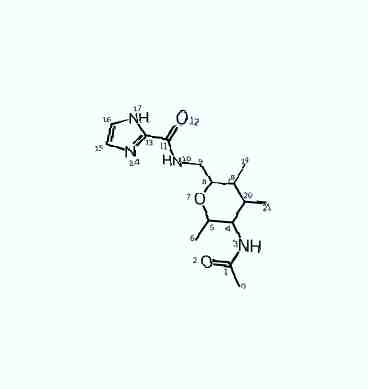 CC(=O)NC1C(C)OC(CNC(=O)c2ncc[nH]2)C(C)C1C